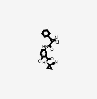 N#CC1(NC(=O)c2cc(NC(=O)C3C(c4ccccc4)C3(Cl)Cl)ccc2Cl)CC1